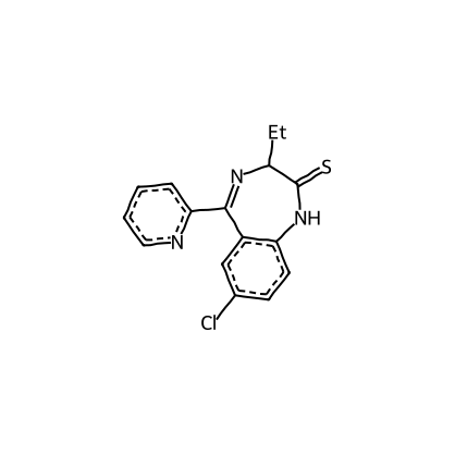 CCC1N=C(c2ccccn2)c2cc(Cl)ccc2NC1=S